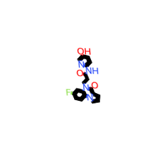 O=C(CCn1c(=O)c2cccn2c2ccc(F)cc21)Nc1ccc(O)cn1